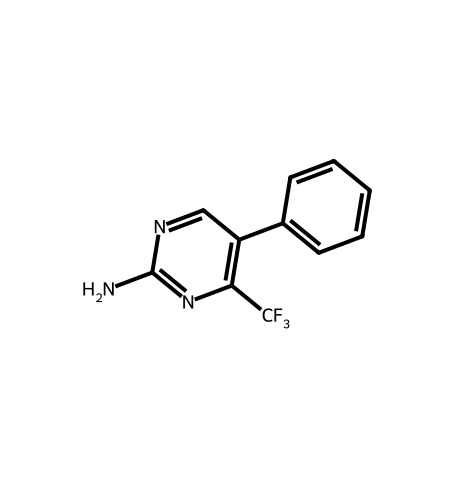 Nc1ncc(-c2ccccc2)c(C(F)(F)F)n1